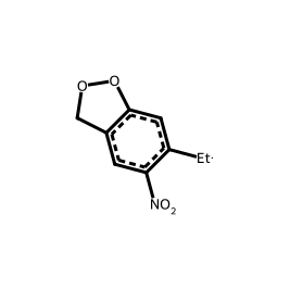 C[CH]c1cc2c(cc1[N+](=O)[O-])COO2